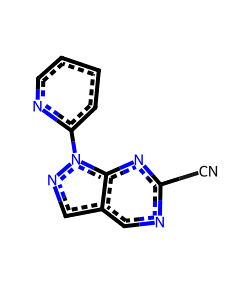 N#Cc1ncc2cnn(-c3ccccn3)c2n1